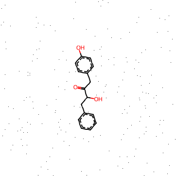 O=C(Cc1ccc(O)cc1)C(O)Cc1ccccc1